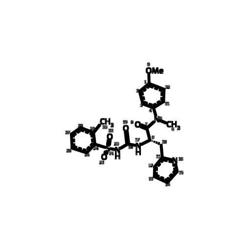 COc1ccc(N(C)C(=O)[C@H](Cc2ccccn2)NC(=O)NS(=O)(=O)c2ccccc2C)cc1